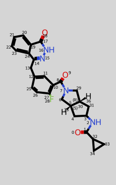 O=C(NC1C[C@@H]2CN(C(=O)c3cc(Cc4n[nH]c(=O)c5ccccc45)ccc3F)C[C@@H]2C1)C1CC1